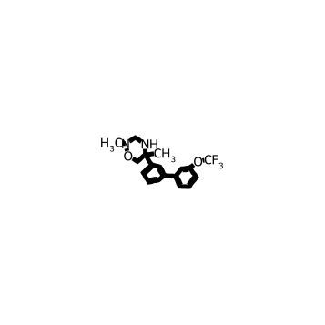 CN1CNC(C)(c2cccc(-c3cccc(OC(F)(F)F)c3)c2)CO1